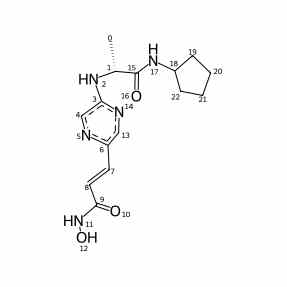 C[C@@H](Nc1cnc(/C=C/C(=O)NO)cn1)C(=O)NC1CCCC1